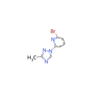 Cc1ncn(-c2cccc(Br)n2)n1